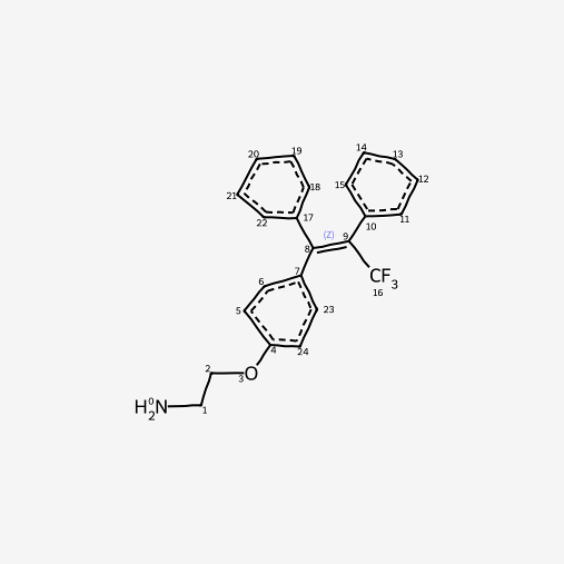 NCCOc1ccc(/C(=C(/c2ccccc2)C(F)(F)F)c2ccccc2)cc1